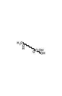 CCC(O)CCCCCCCC(=O)OCC(O)CO